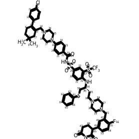 CC1(C)CCC(c2ccc(Cl)cc2)=C(CN2CCN(c3ccc(C(=O)NS(=O)(=O)c4ccc(N[C@H](CCN5CCN(Cc6cc(C7CCC(=O)NC7=O)ccc6F)CC5)CSc5ccccc5)c(S(=O)(=O)C(F)(F)F)c4)cc3)CC2)C1